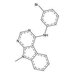 Cn1c2ccccc2c2c(Nc3cccc(Br)c3)ncnc21